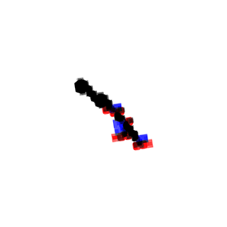 O=C(O)NCCCCC(NC(=O)O)C(=O)NCCC(=O)ONC(=O)Cc1ccc(CCCCc2ccccc2)cc1